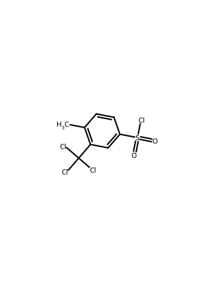 Cc1ccc(S(=O)(=O)Cl)cc1C(Cl)(Cl)Cl